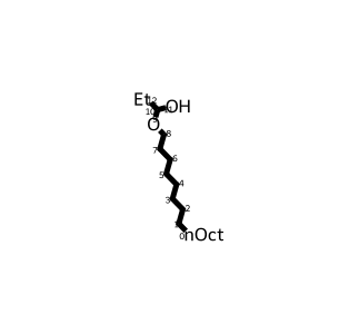 CCCCCCCCCCCCCCCCOC(O)CC